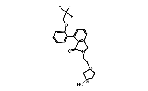 O=C1c2c(cccc2-c2ccccc2OCC(F)(F)F)CN1CC[C@H]1CC[C@H](O)C1